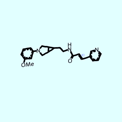 COc1cccc(N2CC3C(CCNC(=O)/C=C/c4cccnc4)C3C2)c1